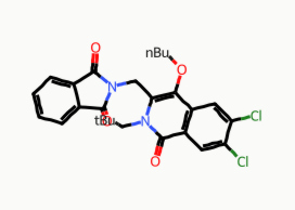 CCCCOc1c(CN2C(=O)c3ccccc3C2=O)n(CC(C)(C)C)c(=O)c2cc(Cl)c(Cl)cc12